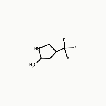 CC1CC(C(F)(F)F)CN1